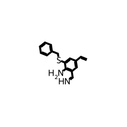 C=Cc1cc(C=N)c(N)c(SCc2ccccc2)c1